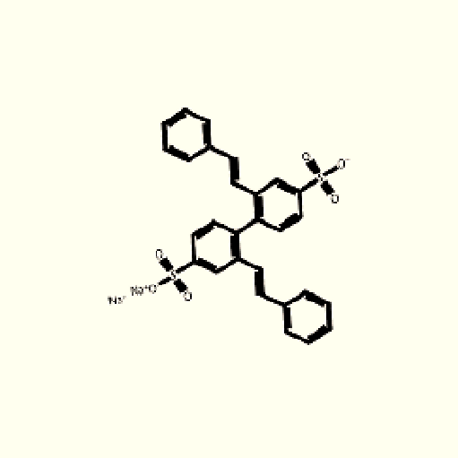 O=S(=O)([O-])c1ccc(-c2ccc(S(=O)(=O)[O-])cc2/C=C/c2ccccc2)c(/C=C/c2ccccc2)c1.[Na+].[Na+]